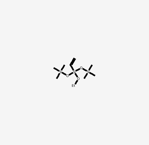 C=C[Si](OCC)(O[Si](C)(C)C)O[Si](C)(C)C